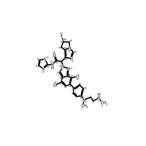 CNCCN(C)c1ccc(-c2cc(Cl)c3cn(C(C(=O)Nc4nccs4)c4ncn5c4C[C@@H](F)C5)nc3c2Cl)cc1